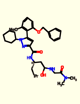 COc1cccc(OCc2ccccc2)c1-c1cc(C(=O)N[C@@H](CC(C)C)CC(O)NCC(=O)N(C)C)nn1C1CCCCC1